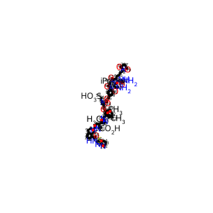 Cc1c(-c2ccc(N3CCc4cccc(C(=O)Nc5nc6ncccc6s5)c4C3)nc2C(=O)O)cnn1CC12CC3(C)CC(C)(C1)CC(OCCN(CCS(=O)(=O)O)C(=O)OCc1ccc(N(C(=O)[C@@H](NC(=O)CCCCCN4C(=O)C=CC4=O)C(C)C)[C@@H](CCCNC(N)=O)C(N)=O)cc1)(C3)C2